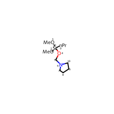 CCC[Si](OC)(OC)OCN1CCCC1